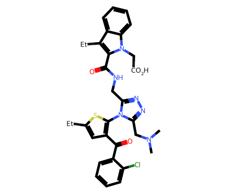 CCc1cc(C(=O)c2ccccc2Cl)c(-n2c(CNC(=O)c3c(CC)c4ccccc4n3CC(=O)O)nnc2CN(C)C)s1